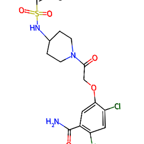 C=CS(=O)(=O)NC1CCN(C(=O)COc2cc(C(N)=O)c(Cl)cc2Cl)CC1